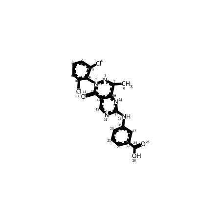 Cc1nn(-c2c(Cl)cccc2Cl)c(=O)c2cnc(Nc3cccc(C(=O)O)c3)nc12